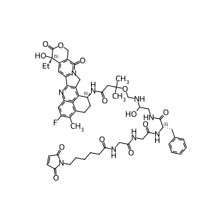 CC[C@@]1(O)C(=O)OCc2c1cc1n(c2=O)Cc2c-1nc1cc(F)c(C)c3c1c2[C@@H](NC(=O)CC(C)(C)OCNC(O)CNC(=O)[C@H](Cc1ccccc1)NC(=O)CNC(=O)CNC(=O)CCCCCN1C(=O)C=CC1=O)CC3